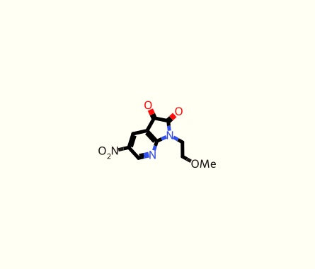 COCCN1C(=O)C(=O)c2cc([N+](=O)[O-])cnc21